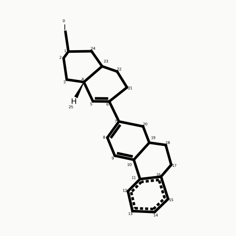 IC1CC[C@H]2C=C(C3=CC=C4c5ccccc5CCC4C3)CCC2C1